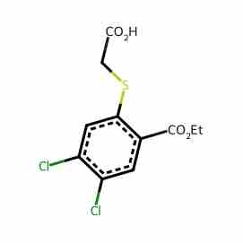 CCOC(=O)c1cc(Cl)c(Cl)cc1SCC(=O)O